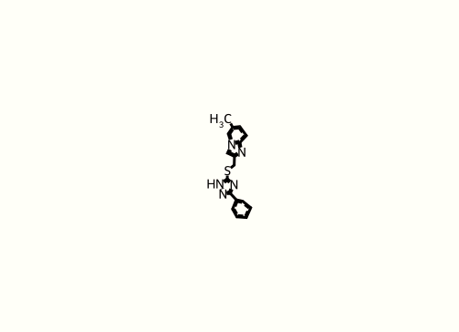 Cc1ccc2nc(CSc3nc(-c4ccccc4)n[nH]3)cn2c1